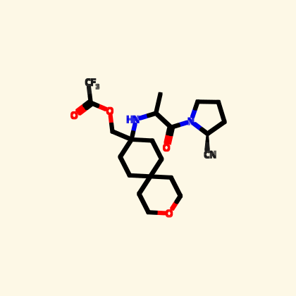 CC(NC1(COC(=O)C(F)(F)F)CCC2(CCOCC2)CC1)C(=O)N1CCC[C@H]1C#N